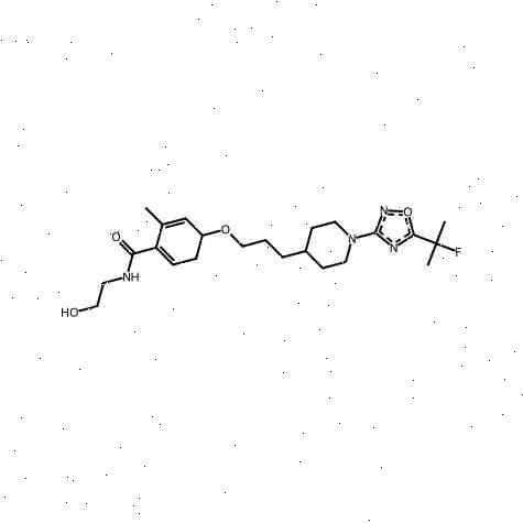 CC1=CC(OCCCC2CCN(c3noc(C(C)(C)F)n3)CC2)CC=C1C(=O)NCCO